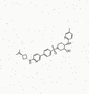 Cc1ccc(N[C@@H]2CCN(S(=O)(=O)c3ccc(-c4ccc(N[C@H]5C[C@H](N(C)C)C5)nc4)cc3)C[C@@H]2O)nc1